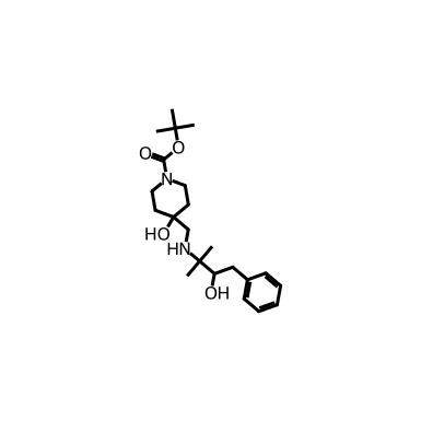 CC(C)(C)OC(=O)N1CCC(O)(CNC(C)(C)C(O)Cc2ccccc2)CC1